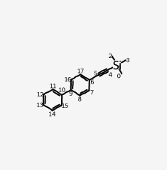 C[Si](C)(C)C#Cc1ccc(-c2ccccc2)cc1